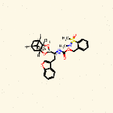 CN=S(C)(=O)c1ccccc1COC(=O)N[C@@H](Cc1coc2ccccc12)B1O[C@@H]2C[C@@H]3C[C@@H](C3(C)C)[C@]2(C)O1